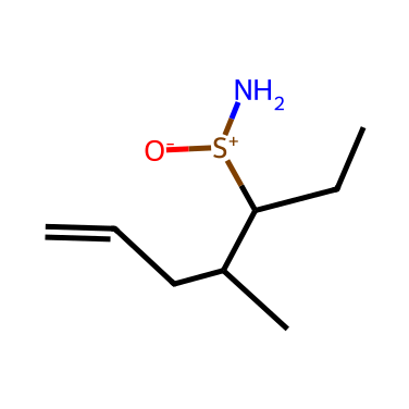 C=CCC(C)C(CC)[S+](N)[O-]